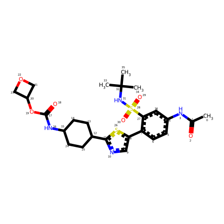 CC(=O)Nc1ccc(-c2cnc(C3CCC(NC(=O)OC4COC4)CC3)s2)c(S(=O)(=O)NC(C)(C)C)c1